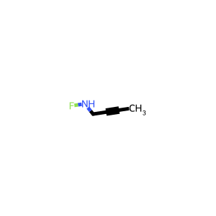 CC#CCNF